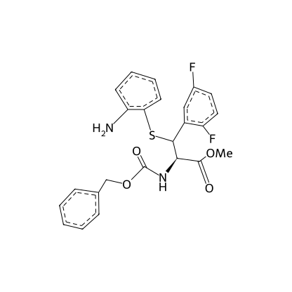 COC(=O)[C@@H](NC(=O)OCc1ccccc1)C(Sc1ccccc1N)c1cc(F)ccc1F